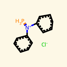 [Cl-].[PH3]=[N+](c1ccccc1)c1ccccc1